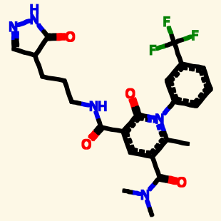 Cc1c(C(=O)N(C)C)cc(C(=O)NCCCC2C=NNC2=O)c(=O)n1-c1cccc(C(F)(F)F)c1